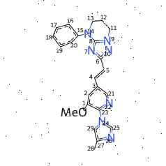 COc1cc(C=Cc2nc3n(n2)CCCN3c2ccccc2)cnc1-n1cnc(C)c1